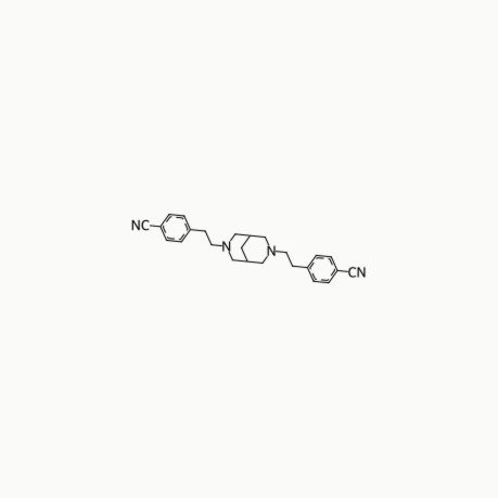 N#Cc1ccc(CCN2CC3CC(C2)CN(CCc2ccc(C#N)cc2)C3)cc1